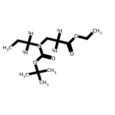 [2H]C([2H])(CN(C(=O)OC(C)(C)C)C([2H])([2H])CC)C(=O)OCC